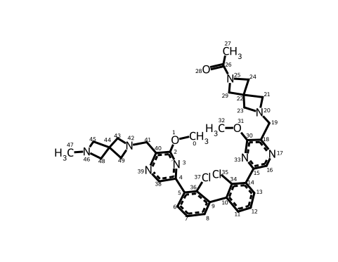 COc1nc(-c2cccc(-c3cccc(-c4cnc(CN5CC6(C5)CN(C(C)=O)C6)c(OC)n4)c3Cl)c2Cl)cnc1CN1CC2(CN(C)C2)C1